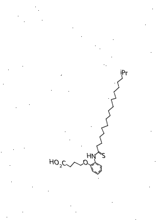 CC(C)CCCCCCCCCCCCCCCCC(=S)Nc1ccccc1OCCCC(=O)O